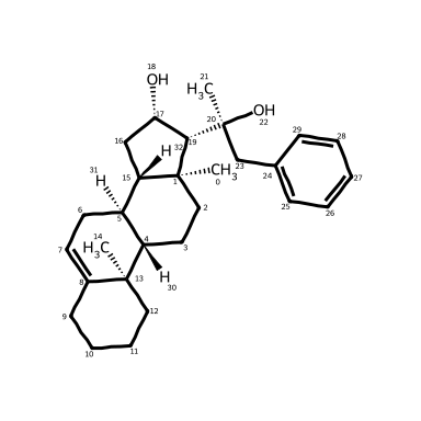 C[C@]12CC[C@H]3[C@@H](CC=C4CCCC[C@@]43C)[C@@H]1C[C@H](O)[C@@H]2[C@@](C)(O)Cc1ccccc1